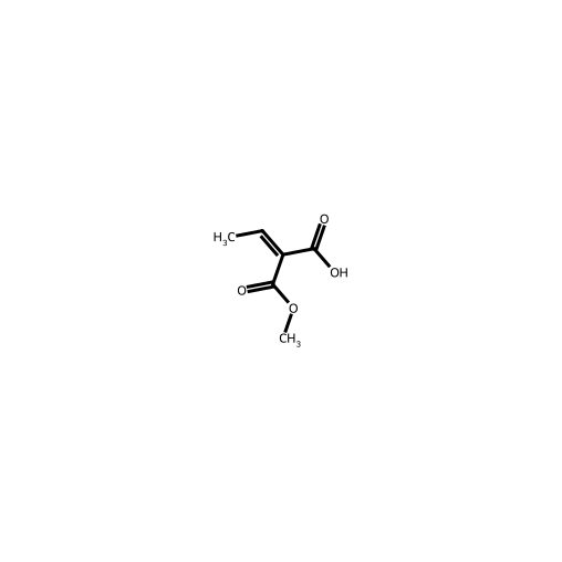 C/C=C(/C(=O)O)C(=O)OC